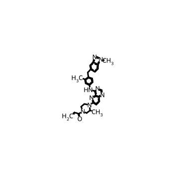 C=CC(=O)N1CCN(c2ccc3ncnc(Nc4ccc(Cc5ccc6c(c5)ncn6C)c(C)c4)c3n2)C(C)C1